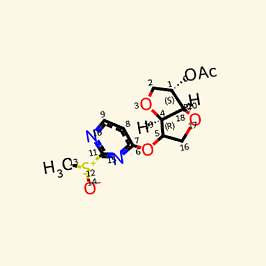 CC(=O)O[C@H]1CO[C@@H]2C(Oc3ccnc([S+](C)[O-])n3)CO[C@H]12